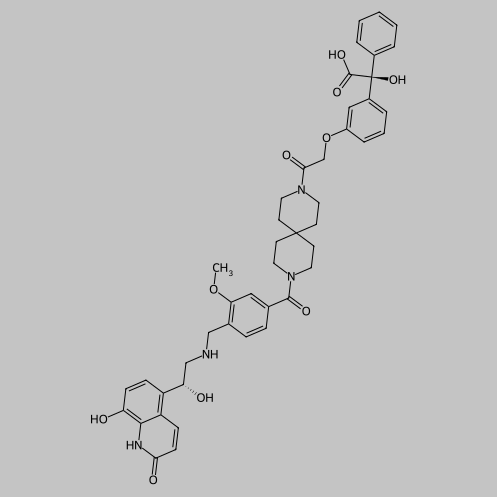 COc1cc(C(=O)N2CCC3(CCN(C(=O)COc4cccc([C@](O)(C(=O)O)c5ccccc5)c4)CC3)CC2)ccc1CNC[C@H](O)c1ccc(O)c2[nH]c(=O)ccc12